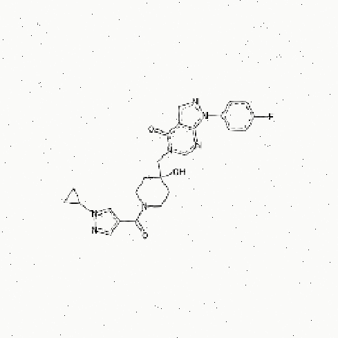 O=C(c1cnn(C2CC2)c1)N1CCC(O)(Cn2cnc3c(cnn3-c3ccc(F)cc3)c2=O)CC1